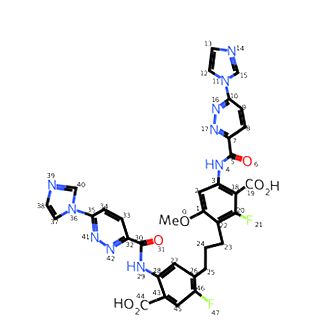 COc1cc(NC(=O)c2ccc(-n3ccnc3)nn2)c(C(=O)O)c(F)c1CCCc1cc(NC(=O)c2ccc(-n3ccnc3)nn2)c(C(=O)O)cc1F